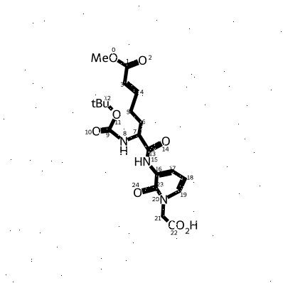 COC(=O)C=CCCC(NC(=O)OC(C)(C)C)C(=O)Nc1cccn(CC(=O)O)c1=O